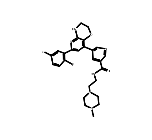 CN1CCN(CCNC(=O)c2cncc(-c3cc(-c4cc(Cl)ccc4F)nc4c3OCCN4)c2)CC1